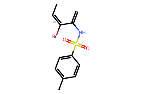 C=C(NS(=O)(=O)c1ccc(C)cc1)/C(Br)=C\C